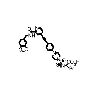 CC(C)[C@@H](NS(=O)(=O)N1CCN(c2ccc(C#Cc3ccnc(C(=O)NCc4ccc5c(c4)OCO5)c3)cc2)CC1)C(=O)O